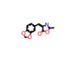 CC1=NC(=Cc2ccc3c(c2)OCO3)C(=O)O1